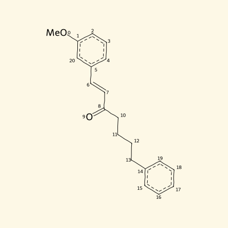 COc1cccc(/C=C/C(=O)CCCCc2ccccc2)c1